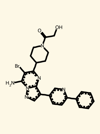 Nc1c(Br)c(C2CCN(C(=O)CO)CC2)nc2c(-c3ccc(-c4ccccc4)nc3)cnn12